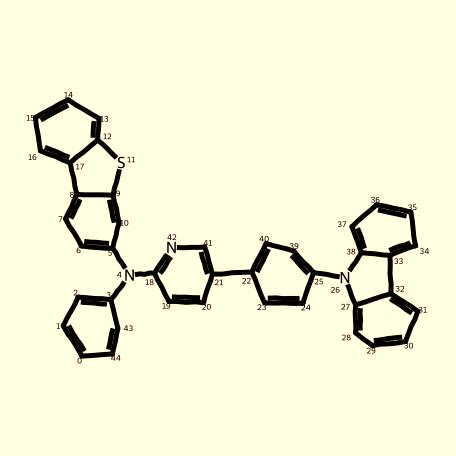 c1ccc(N(c2ccc3c(c2)sc2ccccc23)c2ccc(-c3ccc(-n4c5ccccc5c5ccccc54)cc3)cn2)cc1